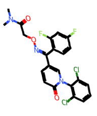 CN(C)C(=O)CON=C(c1ccc(=O)n(-c2c(Cl)cccc2Cl)c1)c1ccc(F)cc1F